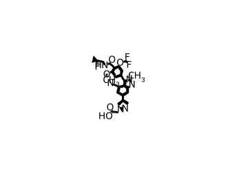 COc1cc(-c2c3c(C#N)cc(-c4cnn(CC(=O)O)c4)cc3nn2C)cc(OC(F)F)c1C(=O)NCC1(F)CC1